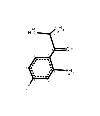 Bc1cc(F)ccc1C(=O)C(C)C